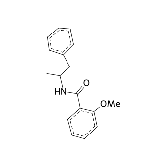 COc1ccccc1C(=O)NC(C)Cc1ccccc1